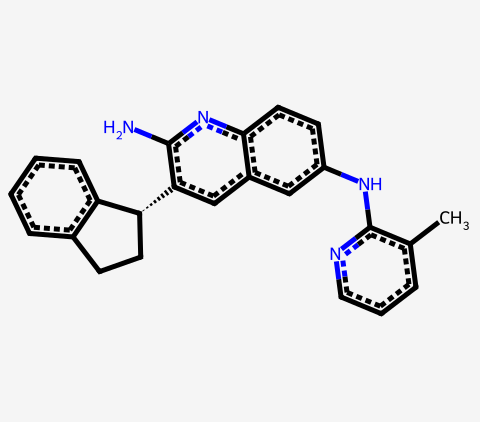 Cc1cccnc1Nc1ccc2nc(N)c([C@@H]3CCc4ccccc43)cc2c1